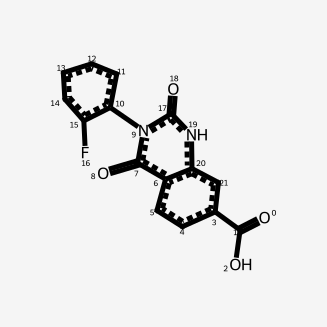 O=C(O)c1ccc2c(=O)n(-c3ccccc3F)c(=O)[nH]c2c1